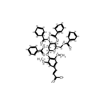 COc1cc(C=CC(=O)Cl)cc(OC)c1O[C@@H]1O[C@H](COC(=O)c2ccccc2)[C@@H](OC(=O)c2ccccc2)[C@H](OC(=O)c2ccccc2)[C@H]1OC(=O)c1ccccc1